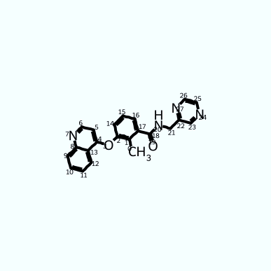 Cc1c(Oc2ccnc3ccccc23)cccc1C(=O)NCc1cnccn1